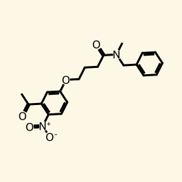 CC(=O)c1cc(OCCCC(=O)N(C)Cc2ccccc2)ccc1[N+](=O)[O-]